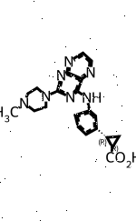 CN1CCN(c2nc(Nc3cccc([C@@H]4C[C@H]4C(=O)O)c3)c3nccnc3n2)CC1